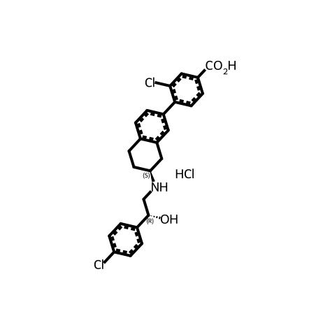 Cl.O=C(O)c1ccc(-c2ccc3c(c2)C[C@@H](NC[C@H](O)c2ccc(Cl)cc2)CC3)c(Cl)c1